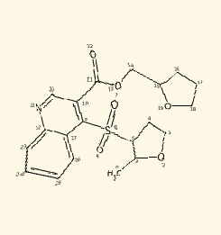 CC1OCCC1S(=O)(=O)c1c(C(=O)OCC2CCCO2)cnc2ccccc12